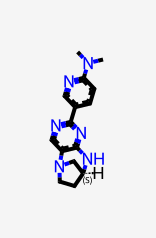 CN(C)c1ccc(-c2ncc3c(n2)N[C@H]2CCN3C2)cn1